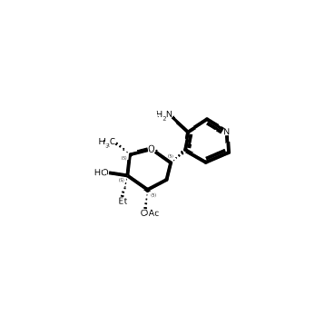 CC[C@]1(O)[C@H](C)O[C@H](c2ccncc2N)C[C@@H]1OC(C)=O